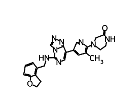 Cc1cc(-c2cnc(NCc3cccc4c3CCO4)n3cnnc23)cnc1N1CCNC(=O)C1